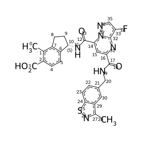 Cc1c(C(=O)O)ccc2c1CC[C@@H]2NC(=O)c1cc(C(=O)NCc2ccc3snc(C)c3c2)nc2c(F)cnn12